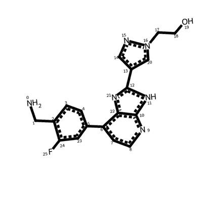 NCc1ccc(-c2ccnc3[nH]c(-c4cnn(CCO)c4)nc23)cc1F